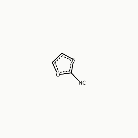 [C-]#[N+]c1ncco1